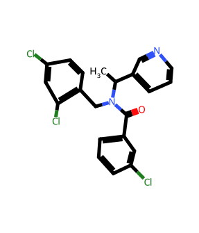 CC(c1cccnc1)N(Cc1ccc(Cl)cc1Cl)C(=O)c1cccc(Cl)c1